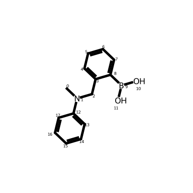 CN(Cc1ccccc1B(O)O)c1ccccc1